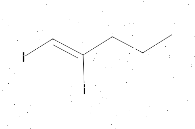 CCCC(I)=CI